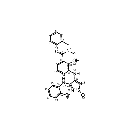 CN(Cc1ccccc1)C(=O)c1cccc(Nc2n[s+]([O-])nc2Nc2ccccc2Br)c1O